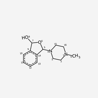 CN1CCN(C2OC(O)c3ccccc32)CC1